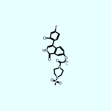 C[C@@H](Oc1ccc2c(-c3ccc(F)cc3Cl)c[nH]c(=O)c2c1)C(=O)N1CCN(S(C)(=O)=O)CC1